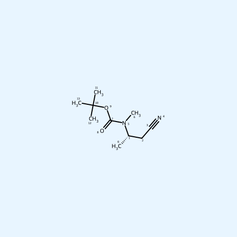 C[C@@H](CC#N)N(C)C(=O)OC(C)(C)C